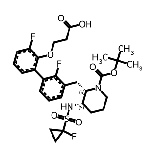 CC(C)(C)OC(=O)N1CCC[C@H](NS(=O)(=O)C2(F)CC2)[C@@H]1Cc1cccc(-c2cccc(F)c2OCCC(=O)O)c1F